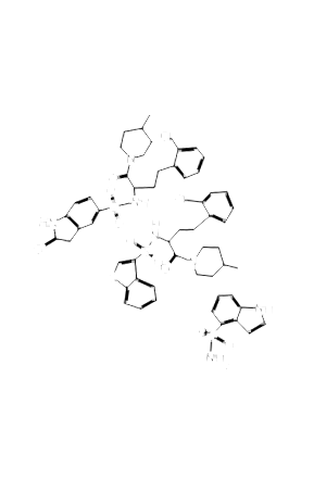 CC1CCN(C(=O)C(CCc2ccccc2Cl)NS(=O)(=O)c2ccc3c(c2)CC(=O)N3)CC1.CC1CCN(C(=O)C(CCc2ccccc2Cl)NS(=O)(=O)c2csc3ccccc23)CC1.NS(=O)(=O)c1cccc2[nH]ccc12